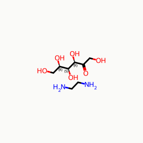 NCCN.O=C(CO)[C@H](O)[C@@H](O)[C@H](O)CO